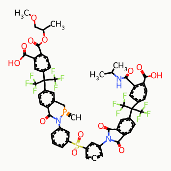 C#P1Cc2cc(C(c3ccc(C(=O)OC(C)COC)c(C(=O)O)c3)(C(F)(F)F)C(F)(F)F)ccc2C(=O)N1c1cccc(S(=O)(=O)c2cccc(N3C(=O)c4ccc(C(c5ccc(C(=O)O)c(C(=O)NC(C)C)c5)(C(F)(F)F)C(F)(F)F)cc4C3=O)c2)c1